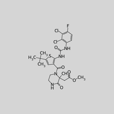 COC(=O)CC1(C)C(=O)NCCN1C(=O)c1cc(C(C)(C)C)sc1NC(=O)Nc1ccc(F)c(Cl)c1Cl